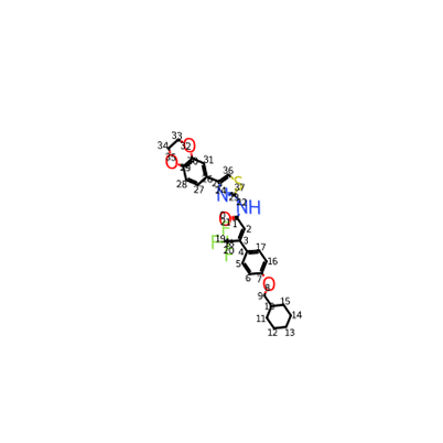 O=C(/C=C(/c1ccc(OCC2CCCCC2)cc1)C(F)(F)F)Nc1nc(-c2ccc3c(c2)OCCO3)cs1